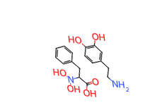 NCCc1ccc(O)c(O)c1.O=C(O)C(Cc1ccccc1)N(O)O